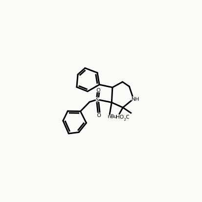 CCCCC1(S(=O)(=O)Cc2ccccc2)C(c2ccccc2)CCNC1(C)C(=O)O